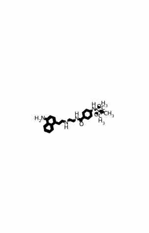 CC(C)(C)S(=O)(=O)NC1CCC(C(=O)NCCNCCc2ccc(N)c3ccccc23)CC1